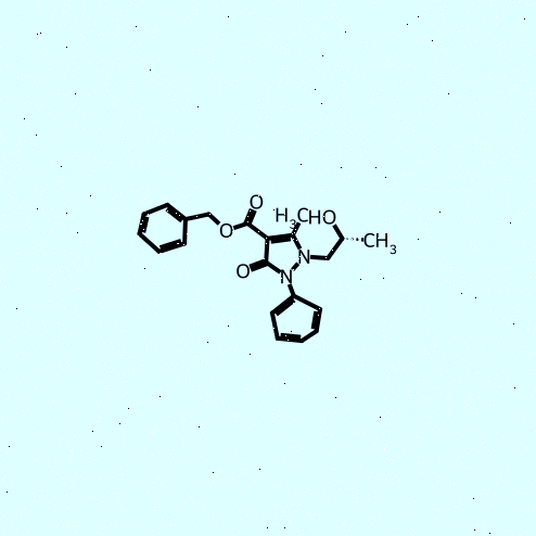 Cc1c(C(=O)OCc2ccccc2)c(=O)n(-c2ccccc2)n1C[C@@H](C)O